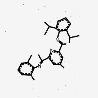 CC(=Nc1c(C)cccc1C)c1cc(C)cc(C(C)=Nc2c(C(C)C)cccc2C(C)C)n1